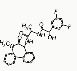 CC(NC(=O)[C@@H](O)c1cc(F)cc(F)c1)C(=O)N[C@@H]1C(=O)N(C)c2ccccc2-c2ccccc21